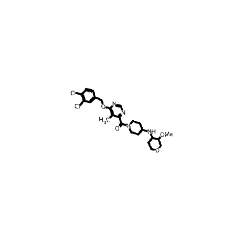 COC1COCCC1NC1CCN(C(=O)c2ncnc(OCc3ccc(Cl)c(Cl)c3)c2C)CC1